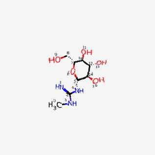 CNC(=N)N[C@@H]1O[C@H](CO)[C@@H](O)[C@H](O)[C@H]1O